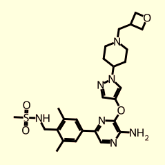 Cc1cc(-c2cnc(N)c(Oc3cnn(C4CCN(CC5COC5)CC4)c3)n2)cc(C)c1CNS(C)(=O)=O